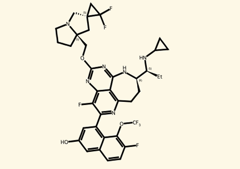 CC[C@H](NC1CC1)[C@H]1CCc2nc(-c3cc(O)cc4ccc(F)c(OC(F)(F)F)c34)c(F)c3nc(OC[C@@]45CCCN4C[C@@]4(CC4(F)F)C5)nc(c23)N1